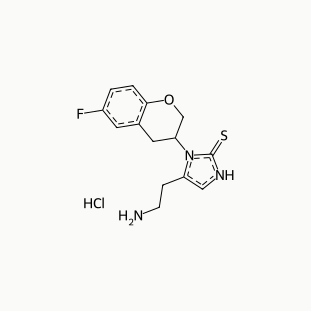 Cl.NCCc1c[nH]c(=S)n1C1COc2ccc(F)cc2C1